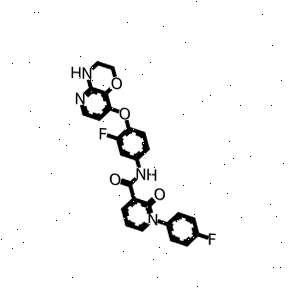 O=C(Nc1ccc(Oc2ccnc3c2OCCN3)c(F)c1)c1cccn(-c2ccc(F)cc2)c1=O